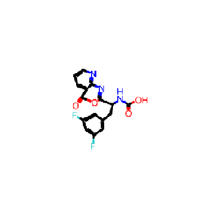 O=C(O)NC(Cc1cc(F)cc(F)c1)c1nc2ncccc2c(=O)o1